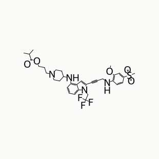 COc1cc(S(C)(=O)=O)ccc1NCC#Cc1cc2c(NC3CCN(CCCOC(=O)C(C)C)CC3)cccc2n1CC(F)(F)F